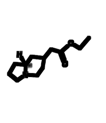 CCOC(=O)CC1CCN2CCC[C@@H]2C1